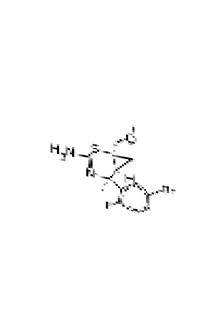 COC[C@]12C[C@H]1[C@@](C)(c1cc(Br)ccc1F)N=C(N)S2